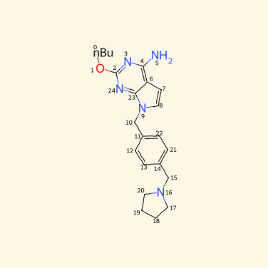 CCCCOc1nc(N)c2ccn(Cc3ccc(CN4CCCC4)cc3)c2n1